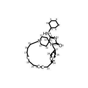 O=C1N=C(NC2CCCCC2)C23CCN(CCCCCCCCCc4ccc(cc4)N12)CC3